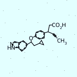 CC#CC(CC(=O)O)c1ccc(OC(CC2CC2)c2ccc3[nH]ncc3c2)cc1